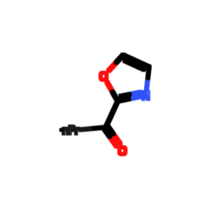 CC[CH]C(=O)c1ncco1